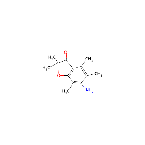 Cc1c(C)c2c(c(C)c1N)OC(C)(C)C2=O